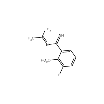 CC(C)=NC(=N)c1cccc(F)c1C(=O)O